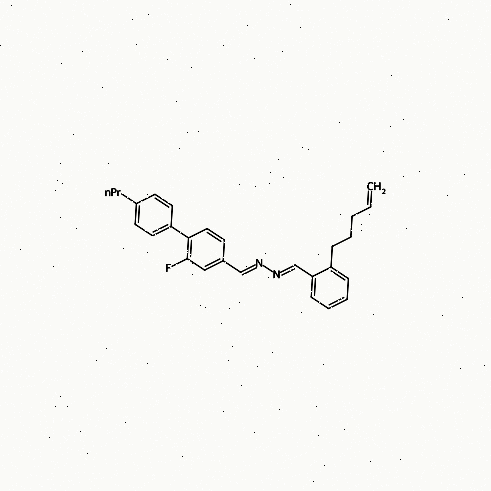 C=CCCCc1ccccc1C=NN=Cc1ccc(-c2ccc(CCC)cc2)c(F)c1